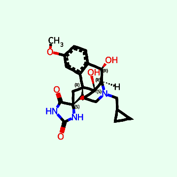 COc1ccc2c(c1)[C@]13CCN(CC4CC4)[C@H]([C@@H]2O)[C@]1(O)CC[C@@]1(C3)NC(=O)NC1=O